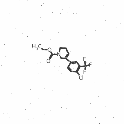 CCOC(=O)N1CCC=C(c2ccc(Cl)c(C(F)(F)F)c2)C1